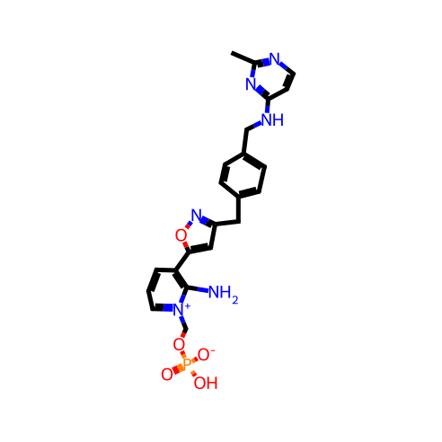 Cc1nccc(NCc2ccc(Cc3cc(-c4ccc[n+](COP(=O)([O-])O)c4N)on3)cc2)n1